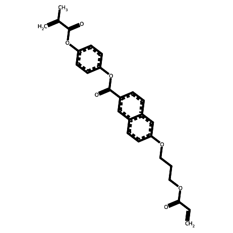 C=CC(=O)OCCCOc1ccc2cc(C(=O)Oc3ccc(OC(=O)C(=C)C)cc3)ccc2c1